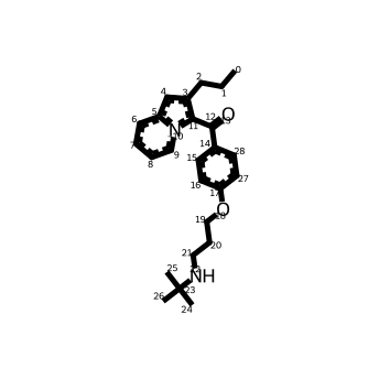 CCCc1cc2ccccn2c1C(=O)c1ccc(OCCCNC(C)(C)C)cc1